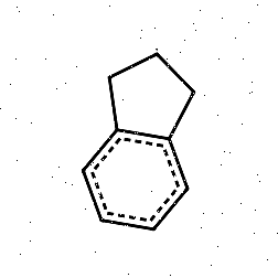 [CH]1Cc2ccccc2C1